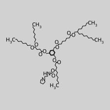 CCCCCCCCOC(CCC(=O)OCc1cc(COC(=O)CCCCCC(=O)OCC(CCCCCC)CCCCCCCC)cc(COC(=O)CCC(CCCCCC)OC(=O)NCCN2CCCC2)c1)OCCCCCCCC